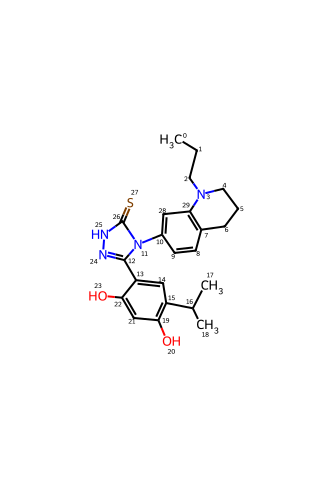 CCCN1CCCc2ccc(-n3c(-c4cc(C(C)C)c(O)cc4O)n[nH]c3=S)cc21